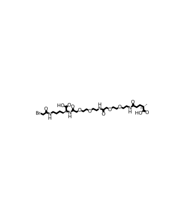 C[C@@H](CCC(=O)NCCOCCOCC(=O)NCCOCCOCC(=O)N[C@@H](CCCCNC(=O)CBr)C(=O)O)C(=O)O